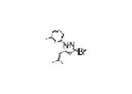 CC(C)=Cc1cc(Br)nn1-c1cccc(C)c1